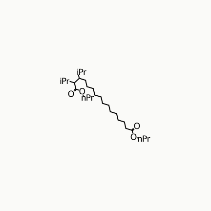 CCCOC(=O)CCCCCCCCCCCCC(C(C)C)C(C(=O)OCCC)C(C)C